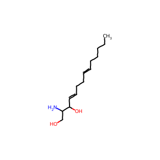 CCCCC/C=C/CC/C=C/C(O)C(N)CO